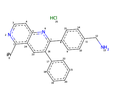 CC(C)c1nccc2nc(-c3ccc(CN)cc3)c(-c3ccccc3)cc12.Cl